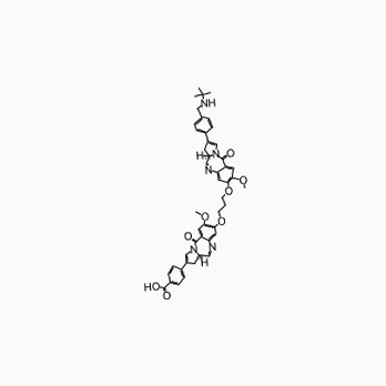 COc1cc2c(cc1OCCCOc1cc3c(cc1OC)C(=O)N1C=C(c4ccc(C(=O)O)cc4)C[C@H]1C=N3)N=C[C@@H]1CC(c3ccc(CNC(C)(C)C)cc3)=CN1C2=O